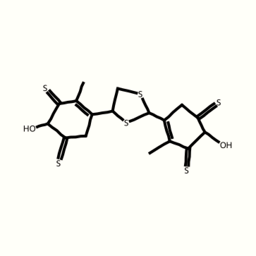 CC1=C(C2CSC(C3=C(C)C(=S)C(O)C(=S)C3)S2)CC(=S)C(O)C1=S